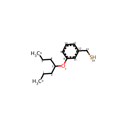 CCCC(CCC)Oc1cccc(CS)c1